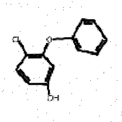 Oc1ccc(Cl)c(Oc2ccccc2)c1